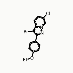 CCOc1ccc(-c2nn3cc(Cl)ccc3c2Br)cc1